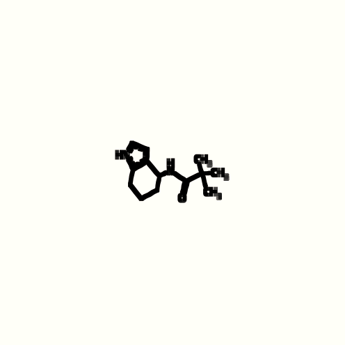 CC(C)(C)C(=O)NC1CCCc2[nH]ccc21